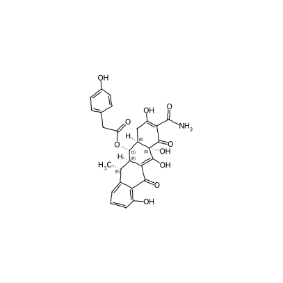 C[C@H]1c2cccc(O)c2C(=O)C2=C(O)[C@]3(O)C(=O)C(C(N)=O)=C(O)C[C@@H]3[C@@H](OC(=O)Cc3ccc(O)cc3)[C@@H]21